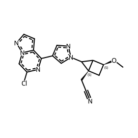 CO[C@H]1C[C@@]2(CC#N)C1C2n1cc(-c2nc(Cl)cn3nccc23)cn1